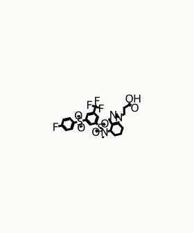 CN(C1CCCc2c1cnn2CCC(=O)O)S(=O)(=O)c1cc(C(F)(F)F)cc(S(=O)(=O)c2ccc(F)cc2)c1